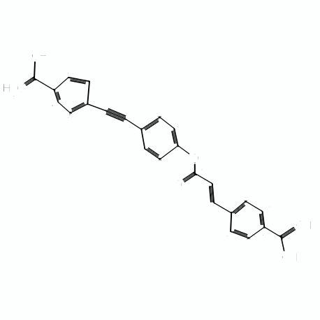 C=C(C)c1ccc(C#Cc2ccc(OC(=O)/C=C/c3ccc(C(=C)C)cc3)cc2)cc1